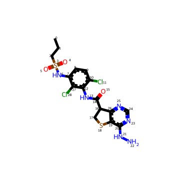 CCCS(=O)(=O)Nc1ccc(Cl)c(NC(=O)C2CSc3c(NN)ncnc32)c1Cl